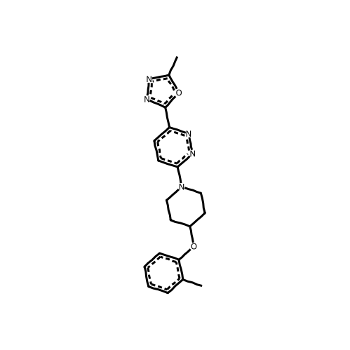 Cc1nnc(-c2ccc(N3CCC(Oc4ccccc4C)CC3)nn2)o1